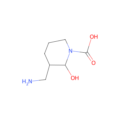 NCC1CCCN(C(=O)O)C1O